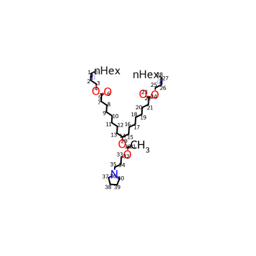 CCCCCC/C=C\COC(=O)CCCCCCCC(CCCCCCCC(=O)OC/C=C\CCCCCC)OC(C)OCCCN1CCCC1